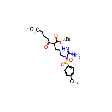 Cc1ccc(S(=O)(=O)N(CCCC(C(=O)CCCC(=O)O)C(=O)OC(C)(C)C)C(=N)N)cc1